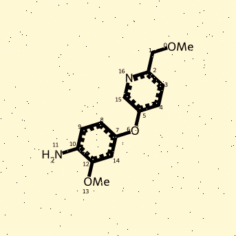 COCc1ccc(Oc2ccc(N)c(OC)c2)cn1